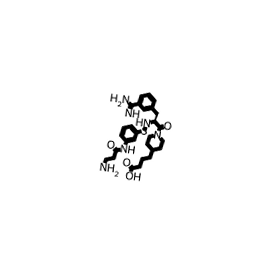 N=C(N)c1cccc(C[C@H](NSc2cccc(NC(=O)CCN)c2)C(=O)N2CCC(CCCC(=O)O)CC2)c1